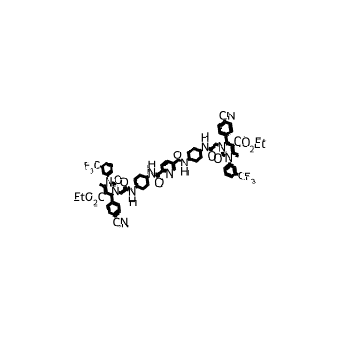 CCOC(=O)C1=C(C)N(c2cccc(C(F)(F)F)c2)C(=O)N(CC(=O)NC2CCC(NC(=O)c3ccc(C(=O)NC4CCC(NC(=O)CN5C(=O)N(c6cccc(C(F)(F)F)c6)C(C)=C(C(=O)OCC)C5c5ccc(C#N)cc5)CC4)nc3)CC2)C1c1ccc(C#N)cc1